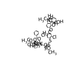 CCOP(=S)(OCC)SCSc1cc(Cl)ccc1Cl.COC(=O)[C@H]1[C@@H](OC(=O)c2ccccc2)C[C@@H]2CC[C@H]1N2C.COc1ccc2c3c1O[C@H]1[C@@H](O)C=C[C@H]4[C@@H](C2)N(C)CC[C@@]341